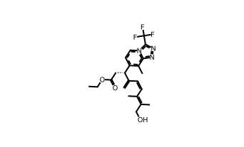 C=C(/C=C\C(C)=C(/C)CO)[C@H](CC(=O)OCC)c1ccn2c(C(F)(F)F)nnc2c1C